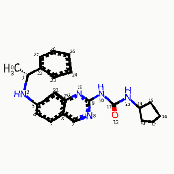 C[C@@H](Nc1ccc2cnc(NC(=O)NC3CCCC3)nc2c1)c1ccccc1